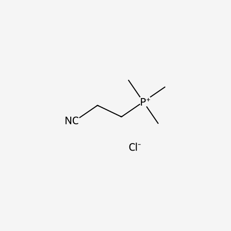 C[P+](C)(C)CCC#N.[Cl-]